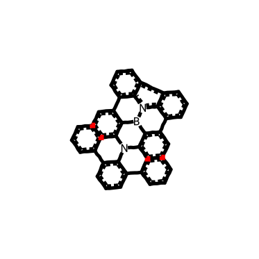 c1ccc(-c2cccc(-c3ccccc3)c2N2c3cccc4c3B3c5c(cccc52)-c2cccc5c6cccc-4c6n3c25)cc1